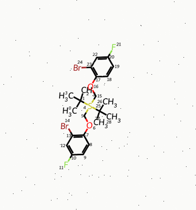 CC(C)(C)S(COc1ccc(F)cc1Br)(COc1ccc(F)cc1Br)C(C)(C)C